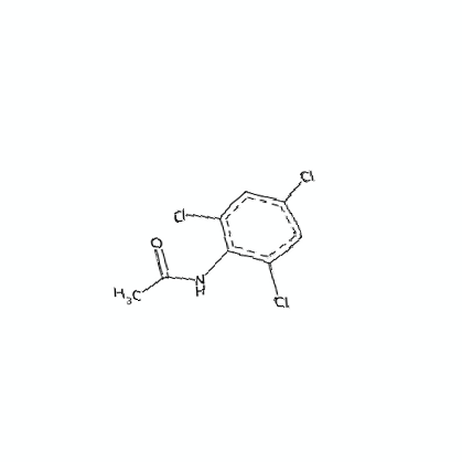 CC(=O)Nc1c(Cl)cc(Cl)cc1Cl